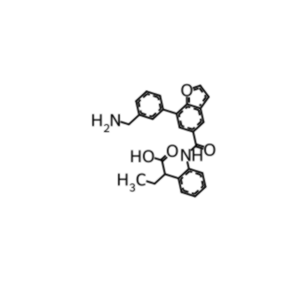 CCC(C(=O)O)c1ccccc1NC(=O)c1cc(-c2cccc(CN)c2)c2occc2c1